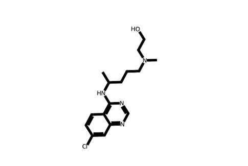 CC(CCCN(C)CCO)Nc1ncnc2cc(Cl)ccc12